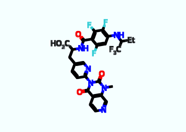 CCC(Nc1cc(F)c(C(=O)NC(Cc2ccc(-n3c(=O)c4ccncc4n(C)c3=O)nc2)C(=O)O)c(F)c1F)C(F)(F)F